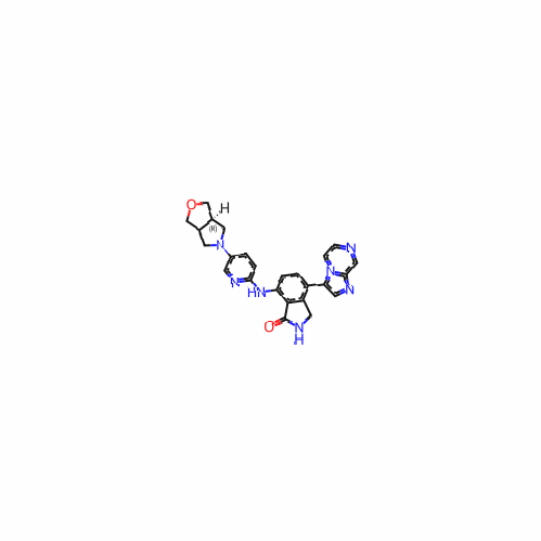 O=C1NCc2c(-c3cnc4cnccn34)ccc(Nc3ccc(N4CC5COC[C@H]5C4)cn3)c21